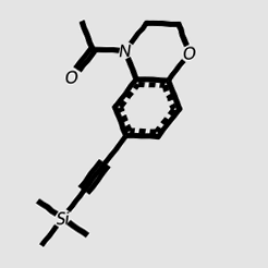 CC(=O)N1CCOc2ccc(C#C[Si](C)(C)C)cc21